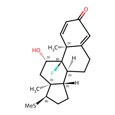 CS[C@@H]1CC[C@H]2[C@@H]3CCC4=CC(=O)C=C[C@]4(C)[C@@]3(F)[C@@H](O)C[C@]12C